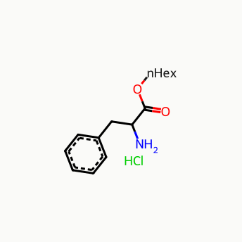 CCCCCCOC(=O)C(N)Cc1ccccc1.Cl